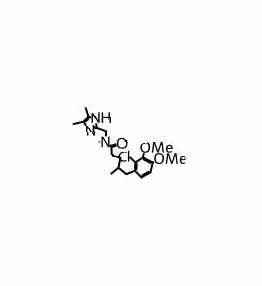 COc1ccc(CC(C)CCC(=O)[N]Cc2nc(C)c(C)[nH]2)c(Cl)c1OC